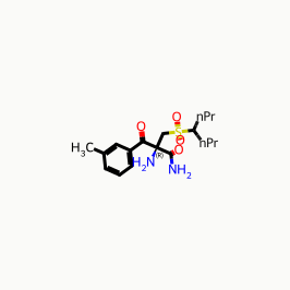 CCCC(CCC)S(=O)(=O)C[C@](N)(C(N)=O)C(=O)c1cccc(C)c1